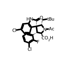 CC(=O)N1[C@@H](CC(C)(C)C)[C@@]2(C(=O)Nc3cc(Cl)ccc32)[C@@H](c2cccc(Cl)c2F)[C@@H]1C(=O)O